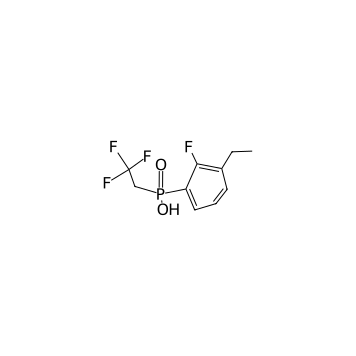 CCc1cccc(P(=O)(O)CC(F)(F)F)c1F